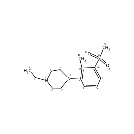 CCN1CCN(c2cccc(S(C)(=O)=O)c2C)CC1